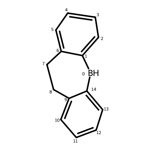 B1c2ccccc2CCc2ccccc21